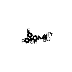 CC(C)N1CC(CCN2CCC(C(O)(c3ccc(F)cc3)c3ccc(F)cc3)CC2)OC1=O